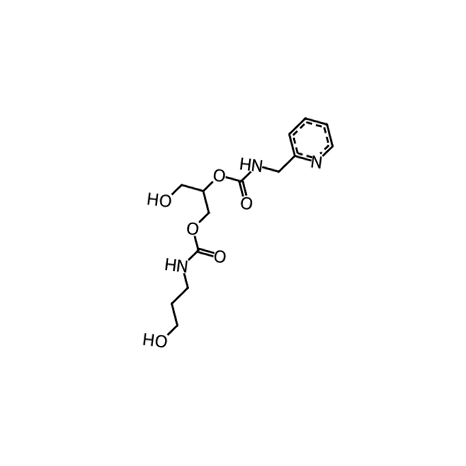 O=C(NCCCO)OCC(CO)OC(=O)NCc1ccccn1